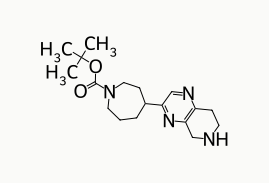 CC(C)(C)OC(=O)N1CCCC(c2cnc3c(n2)CNCC3)CC1